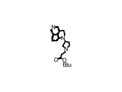 CC(C)(C)OC(=O)CCN1CCC(N2CCc3cncc4cccc2c34)C1